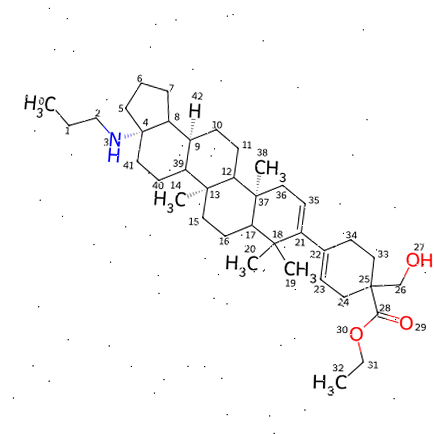 CCCN[C@]12CCCC1[C@H]1CCC3[C@@](C)(CCC4C(C)(C)C(C5=CCC(CO)(C(=O)OCC)CC5)=CC[C@@]43C)C1CC2